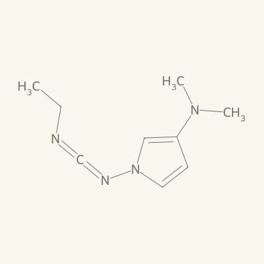 CCN=C=Nn1ccc(N(C)C)c1